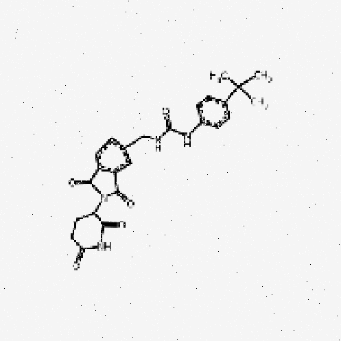 CC(C)(C)c1ccc(NC(=O)NCc2ccc3c(c2)C(=O)N(C2CCC(=O)NC2=O)C3=O)cc1